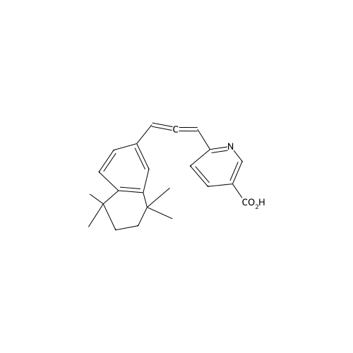 CC1(C)CCC(C)(C)c2cc(C=C=Cc3ccc(C(=O)O)cn3)ccc21